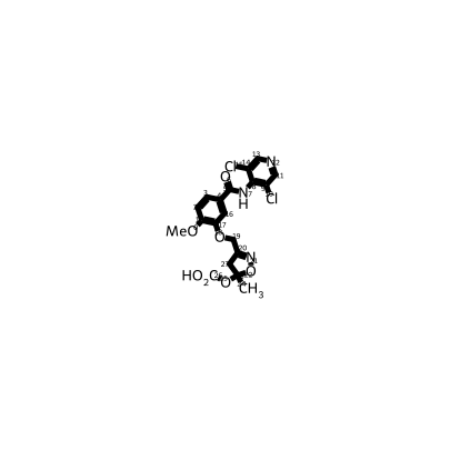 COc1ccc(C(=O)Nc2c(Cl)cncc2Cl)cc1OCC1=NOC(C)(OC(=O)O)C1